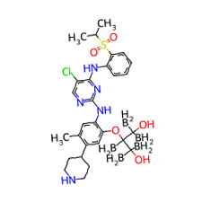 BC(B)(O)C(B)(Oc1cc(C2CCNCC2)c(C)cc1Nc1ncc(Cl)c(Nc2ccccc2S(=O)(=O)C(C)C)n1)C(B)(B)O